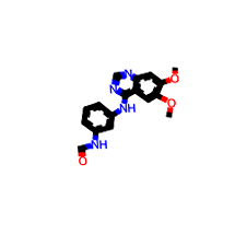 COc1cc2ncnc(Nc3cccc(NC=O)c3)c2cc1OC